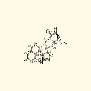 CCc1n[nH]c(=O)c2ccc(-c3cnn(C)c3-c3cccc4cccc(C#N)c34)cc12